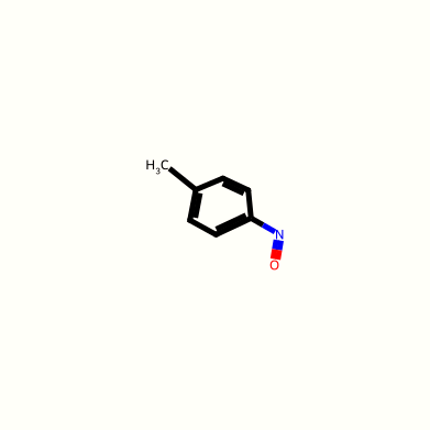 Cc1ccc(N=O)cc1